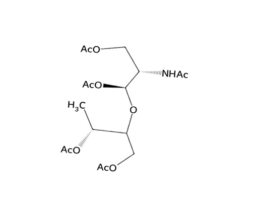 CC(=O)N[C@@H](COC(C)=O)[C@H](OC(C)=O)OC(COC(C)=O)[C@@H](C)OC(C)=O